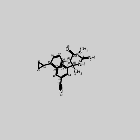 CN1C(=N)N[C@](C)(c2cccc(C#N)c2)[C@@H](c2ccc(C3CC3)cc2)C1=O